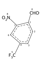 O=[C]c1ccc(C(F)(F)F)cc1[N+](=O)[O-]